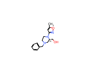 Cc1cc(N2CCN(Cc3ccccc3)C[C@@H]2CO)no1